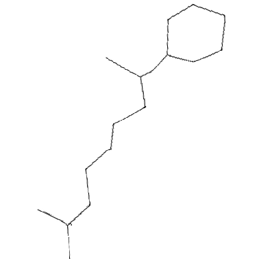 C[C](C)CCCCCC(C)C1CCCCC1